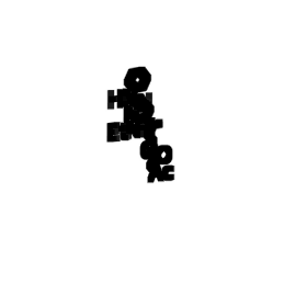 CCNc1nc(Nc2ccccc2)ncc1C(C)=CCOC(=O)CC(C)=O